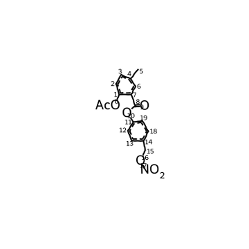 CC(=O)Oc1ccc(C)cc1C(=O)Oc1ccc(CO[N+](=O)[O-])cc1